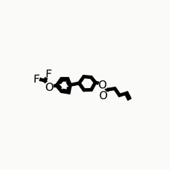 C=CCCC(=O)OC1CCC(c2ccc(OC(F)F)cc2)CC1